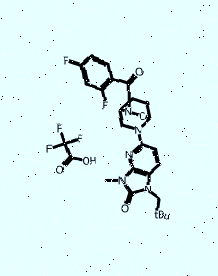 Cn1c(=O)n(CC(C)(C)C)c2ccc(N3CC4CCC3CN4C(=O)c3ccc(F)cc3F)nc21.O=C(O)C(F)(F)F